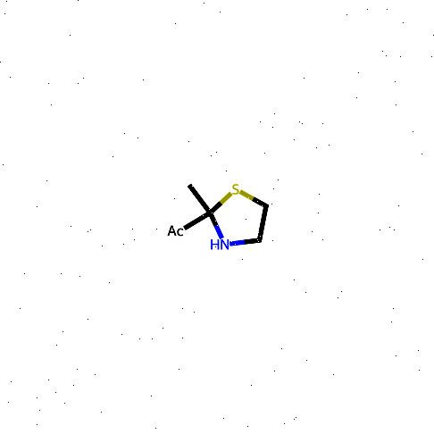 CC(=O)C1(C)NCCS1